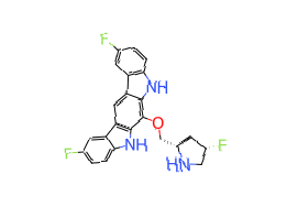 Fc1ccc2[nH]c3c(OC[C@@H]4C[C@H](F)CN4)c4[nH]c5ccc(F)cc5c4cc3c2c1